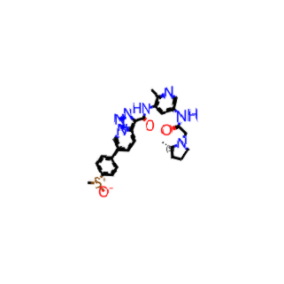 Cc1ncc(NC(=O)CN2CCC[C@@H]2C)cc1NC(=O)c1nnn2cc(-c3ccc([S+](C)[O-])cc3)ccc12